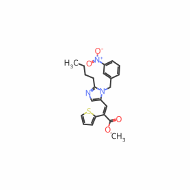 CCCCc1ncc(C=C(C(=O)OC)c2cccs2)n1Cc1cccc([N+](=O)[O-])c1